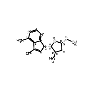 Nc1ncnc2c1c(Cl)cn2[C@@H]1O[C@H](CO)C[C@H]1O